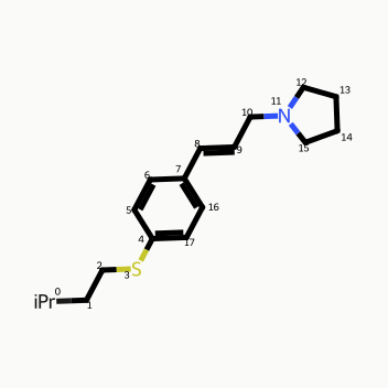 CC(C)CCSc1ccc(C=CCN2CCCC2)cc1